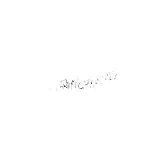 O=C(Nc1ccc2nn(CC(=O)N3CCC(N4CCCCC4)CC3)cc2c1)c1cccc(C(F)(F)F)n1